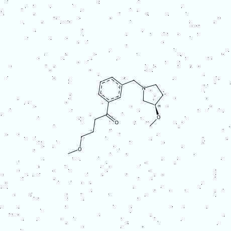 COCCCC(=O)c1cccc(CN2CC[C@@H](OC)C2)c1